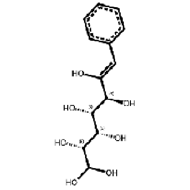 OC(=Cc1ccccc1)[C@@H](O)[C@@H](O)[C@H](O)[C@@H](O)C(O)O